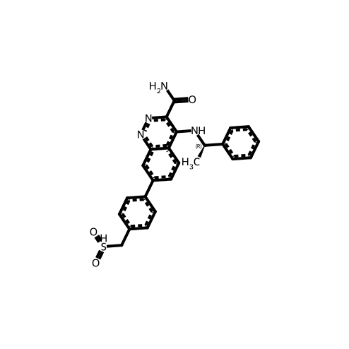 C[C@@H](Nc1c(C(N)=O)nnc2cc(-c3ccc(C[SH](=O)=O)cc3)ccc12)c1ccccc1